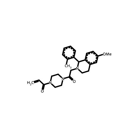 C=CC(=O)N1CCN(C(=O)CN2CCc3cc(OC)ccc3C2c2ccccc2C)CC1